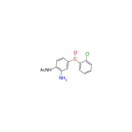 CC(=O)Nc1ccc([S+]([O-])c2ccccc2Cl)cc1N